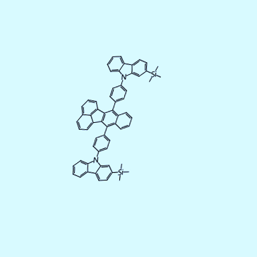 C[Si](C)(C)c1ccc2c3ccccc3n(-c3ccc(-c4c5c(c(-c6ccc(-n7c8ccccc8c8ccc([Si](C)(C)C)cc87)cc6)c6ccccc46)-c4cccc6cccc-5c46)cc3)c2c1